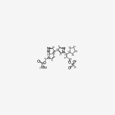 CC(C)(C)C(=O)OCn1ccc2c(-c3cnn([C@H](CCOS(C)(=O)=O)C4CCCC4)c3)cnnc21